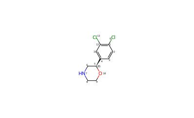 Clc1ccc([C@@H]2CNCCO2)cc1Cl